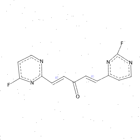 O=C(/C=C/c1ccnc(F)n1)/C=C/c1nccc(F)n1